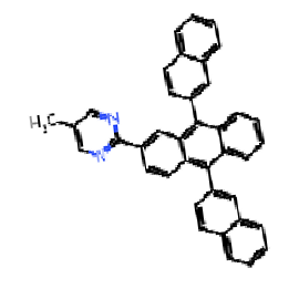 Cc1cnc(-c2ccc3c(-c4ccc5ccccc5c4)c4ccccc4c(-c4ccc5ccccc5c4)c3c2)nc1